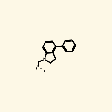 CCN1CCc2c(-c3ccccc3)cccc21